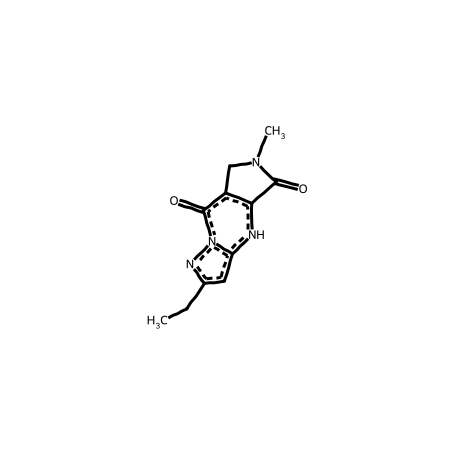 CCc1cc2[nH]c3c(c(=O)n2n1)CN(C)C3=O